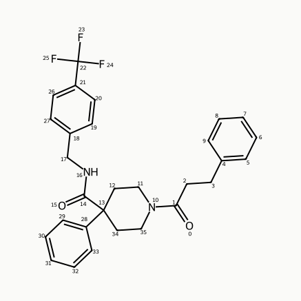 O=C(CCc1ccccc1)N1CCC(C(=O)NCc2ccc(C(F)(F)F)cc2)(c2ccccc2)CC1